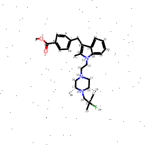 COC(=O)c1ccc(Cc2c(C)n(CCN3C[C@@H](C)N(CC(C)(C)F)[C@@H](C)C3)c3ccccc23)cc1